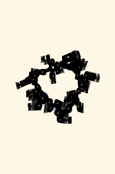 NCC1OC2OC(CCO)/C(O)=C(/O)C(O)OC(CCO)/C(O)=C(/O)C(O)OC3C(CO)OC(OC(CCO)/C(O)=C(\O)C(O)OC(CCO)/C(O)=C(/O)C(O)OC(CCO)/C(O)=C(/O)C(O)OC1C(O)C2O)C(O)C3O